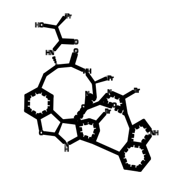 CC(C)[C@H](O)C(=O)N[C@H]1Cc2ccc3c(c2)[C@]24c5cc(Br)cc(c5NC2O3)-c2cccc3[nH]cc(c23)-c2oc(nc2Br)-c2nc(oc24)[C@H](C(C)C)NC1=O